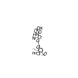 CCCc1c(OCCCOc2cccc(NC(=O)C(=O)O)c2C#N)ccc(C(C)=O)c1O